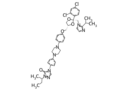 CCC(C)n1ncn(-c2ccc(N3CCN(c4ccc(OC[C@@H]5CO[C@@](Cn6ccnc6C(C)C)(c6ccc(Cl)cc6Cl)O5)cc4)CC3)cc2)c1=O